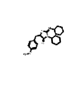 CCNc1ccc(CC2O/C(=N/C3CCCCC3)N(C3CCCCC3)C2=O)cc1